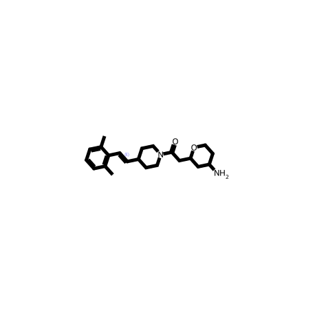 Cc1cccc(C)c1/C=C/C1CCN(C(=O)CC2CC(N)CCO2)CC1